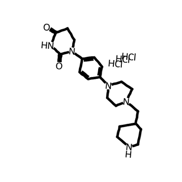 Cl.Cl.Cl.O=C1CCN(c2ccc(N3CCN(CC4CCNCC4)CC3)cc2)C(=O)N1